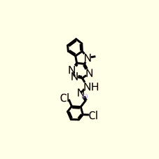 Cn1c2ccccc2c2nnc(N/N=C/c3c(Cl)cccc3Cl)nc21